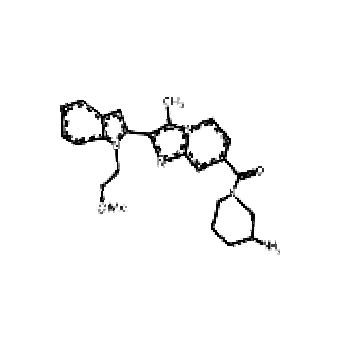 COCCn1c(-c2nc3cc(C(=O)N4CCCC(N)C4)ccn3c2C)cc2ccccc21